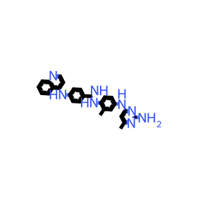 Cc1cc(Nc2ccc(NC(=N)c3ccc(Nc4ccnc5ccccc45)cc3)c(C)c2)nc(N)n1